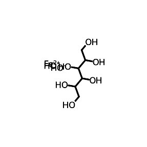 OCC(O)C(O)C(O)C(O)CO.[Fe+2].[OH-].[OH-]